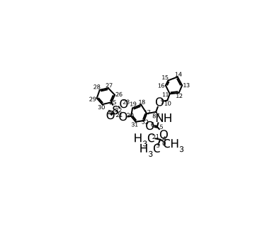 CC(C)(C)OC(=O)NC(OCc1ccccc1)c1ccc(OS(=O)(=O)c2ccccc2)cc1